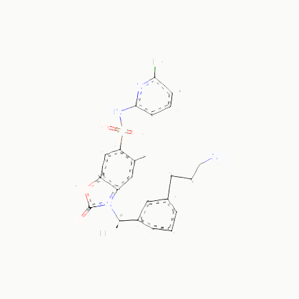 Cc1cc2c(cc1S(=O)(=O)Nc1cccc(F)n1)oc(=O)n2[C@H](C)c1cccc(CCCN)c1